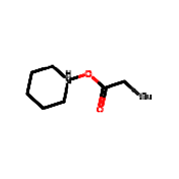 CC(C)(C)CC(=O)O[SiH]1CCCCC1